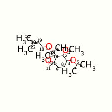 COC1C(OC(C)C)CC[C@]2(CO2)C1C(C)(C)OCC=C(C)C